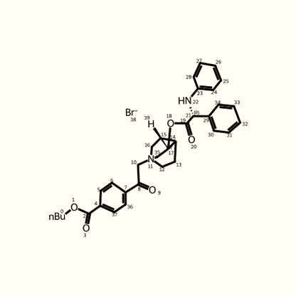 CCCCOC(=O)c1ccc(C(=O)C[N+]23CCC(CC2)[C@@H](OC(=O)[C@H](Nc2ccccc2)c2ccccc2)C3)cc1.[Br-]